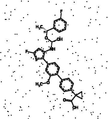 COc1cc(-c2sc(F)cc2NC(O)O[C@H](C)c2cccc(F)c2)ccc1-c1ccc(C2(C(=O)O)CC2)cc1